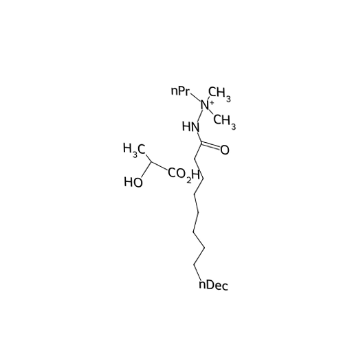 CC(O)C(=O)O.CCCCCCCCCCCCCCCCCC(=O)N[N+](C)(C)CCC